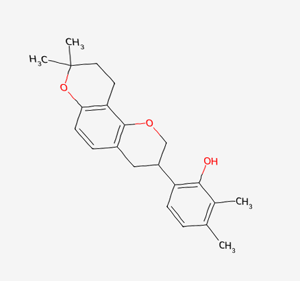 Cc1ccc(C2COc3c(ccc4c3CCC(C)(C)O4)C2)c(O)c1C